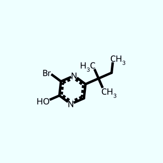 CCC(C)(C)c1cnc(O)c(Br)n1